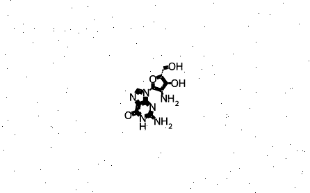 Nc1nc2c(ncn2[C@@H]2O[C@H](CO)[C@@H](O)[C@H]2N)c(=O)[nH]1